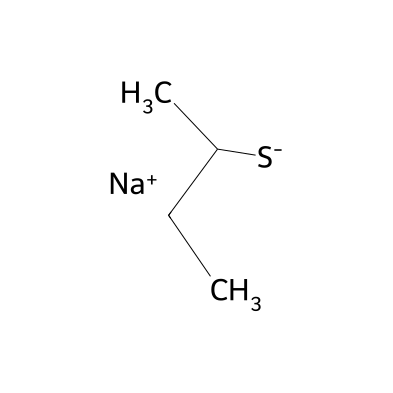 CCC(C)[S-].[Na+]